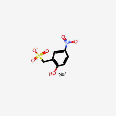 O=[N+]([O-])c1ccc(O)c(CS(=O)(=O)[O-])c1.[Na+]